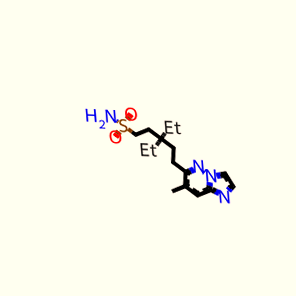 CCC(CC)(CCc1nn2ccnc2cc1C)CCS(N)(=O)=O